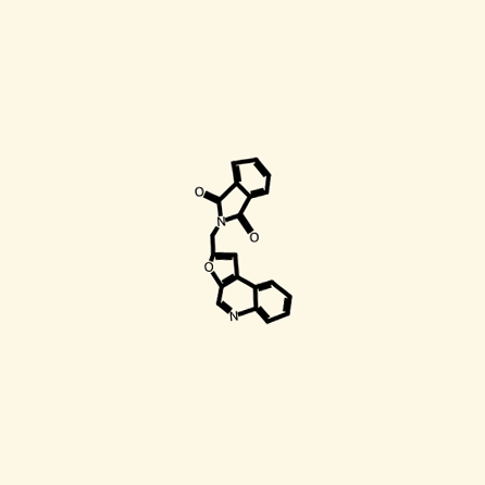 O=C1c2ccccc2C(=O)N1Cc1cc2c(cnc3ccccc32)o1